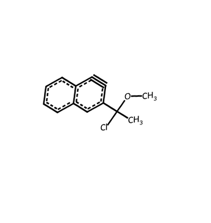 COC(C)(Cl)c1c#cc2ccccc2c1